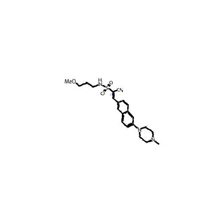 COCCCNS(=O)(=O)/C(C#N)=C/c1ccc2cc(N3CCN(C)CC3)ccc2c1